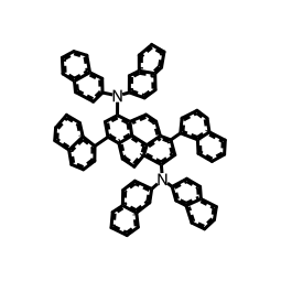 c1ccc2cc(N(c3ccc4ccccc4c3)c3cc(-c4cccc5ccccc45)c4ccc5c(N(c6ccc7ccccc7c6)c6ccc7ccccc7c6)cc(-c6cccc7ccccc67)c6ccc3c4c65)ccc2c1